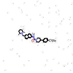 COc1ccc(C2CCN(C(=O)Nc3ccc4cc(CN5[C@H](C)CCC[C@@H]5C)ccc4c3)CC2)cc1